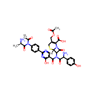 CC(=O)OCC1=C(C(=O)O)N2C(=O)C(N(C(=O)c3cnc(-c4ccc(N(C(C)=O)C(=O)[C@@H](C)N)cc4)nc3O)C(=O)C(N)c3ccc(O)cc3)[C@@H]2SC1